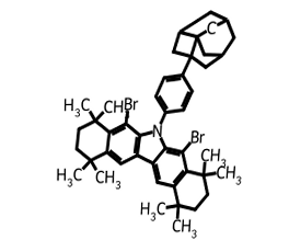 CC1(C)CCC(C)(C)c2c1cc1c3cc4c(c(Br)c3n(-c3ccc(C56CC7CC8CC(C5)C6(C8)C7)cc3)c1c2Br)C(C)(C)CCC4(C)C